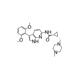 COc1cccc(OC)c1-c1c[nH]c2nc(NC(=O)[C@H]3C[C@@H]3CN3CCN(C)CC3)ccc12